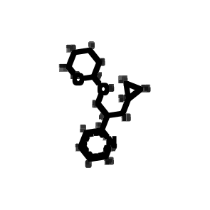 c1ccc(C(COC2CCCCO2)CC2CC2)nc1